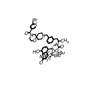 CC(C)c1cc(C(=O)N2CCOC3(CCN(Cc4cccc(C[C@@H](C)N(C[C@H](O[Si](C)(C)C(C)(C)C)c5ccc(O)c6[nH]c(=O)ccc56)C(=O)OC(C)(C)C)c4)CC3)C2)cs1